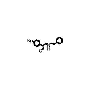 O=CC(CNCCc1ccccc1)c1ccc(Br)cc1